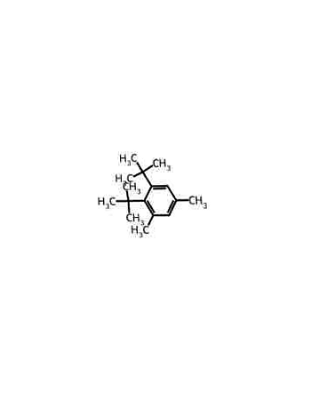 Cc1cc(C)c(C(C)(C)C)c(C(C)(C)C)c1